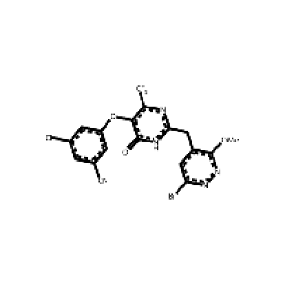 COc1nnc(Br)cc1Cc1nc(C(F)(F)F)c(Oc2cc(Cl)cc(C#N)c2)c(=O)[nH]1